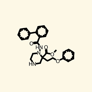 COC(=O)C1(CCOc2ccccc2)CNCCN1NC(=O)c1ccccc1-c1ccccc1